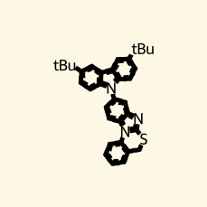 CC(C)(C)c1ccc2c(c1)c1cc(C(C)(C)C)ccc1n2-c1ccc2c(c1)nc1n2-c2ccccc2CS1